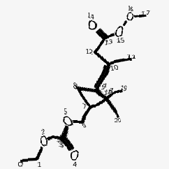 CCOC(=O)OCC1C/C(=C(/C)CC(=O)OOC)C1(C)C